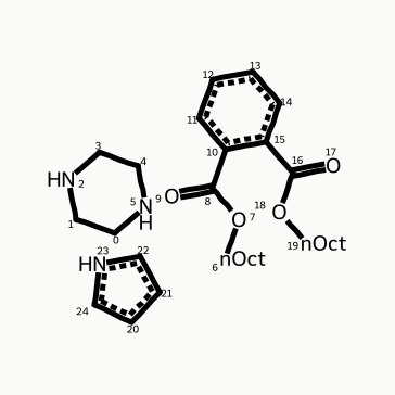 C1CNCCN1.CCCCCCCCOC(=O)c1ccccc1C(=O)OCCCCCCCC.c1cc[nH]c1